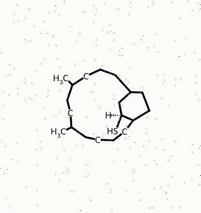 CC1CCCCC2CCC(CCCC(C)CC1)C[C@@H]2S